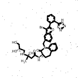 CC(C)(CC(=O)N[C@@H]1CCc2ccccc2N(Cc2ccc3oc(-c4ccccc4-c4nnn[nH]4)c(Br)c3c2)C1=O)NC[C@H](O)CO